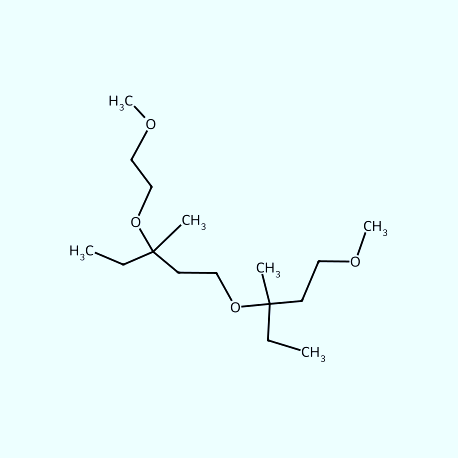 CCC(C)(CCOC)OCCC(C)(CC)OCCOC